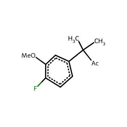 COc1cc(C(C)(C)C(C)=O)ccc1F